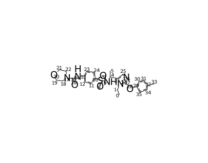 CCn1c(C(C)NS(=O)(=O)c2ccc(NC(=O)N3CCOCC3)cc2)cnc1Oc1ccc(C)cc1